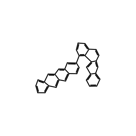 c1ccc2cc3cc4cc(-c5cccc6ccc7cc8ccccc8cc7c56)ccc4cc3cc2c1